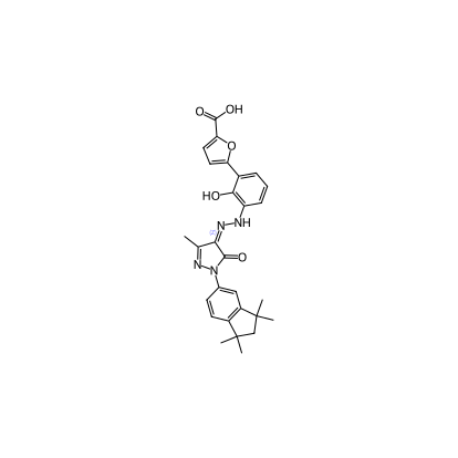 CC1=NN(c2ccc3c(c2)C(C)(C)CC3(C)C)C(=O)/C1=N\Nc1cccc(-c2ccc(C(=O)O)o2)c1O